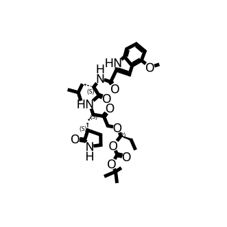 CC[C@H](OCC(=O)[C@H](C[C@@H]1CCNC1=O)NC(=O)[C@H](CC(C)C)NC(=O)c1cc2c(OC)cccc2[nH]1)OC(=O)OC(C)(C)C